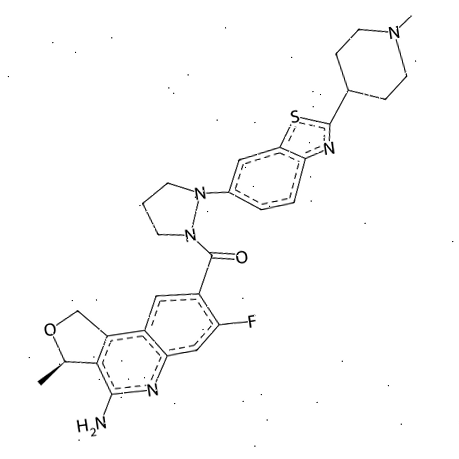 C[C@H]1OCc2c1c(N)nc1cc(F)c(C(=O)N3CCCN3c3ccc4nc(C5CCN(C)CC5)sc4c3)cc21